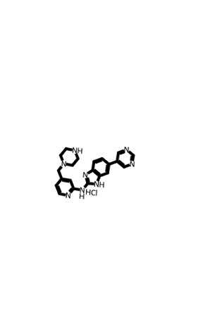 Cl.c1ncc(-c2ccc3nc(Nc4cc(CN5CCNCC5)ccn4)[nH]c3c2)cn1